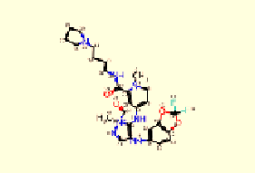 CN1CC=C(NC2=C(Nc3ccc4c(c3)OC(F)(F)O4)C=N[N@@+]2(C)C=O)C=C1C(=O)NCCCCN1CCCC1